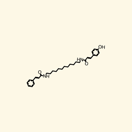 O=C(C=Cc1ccc(O)cc1)NCCCCCCCCCCCCNC(=O)/C=C/c1ccccc1